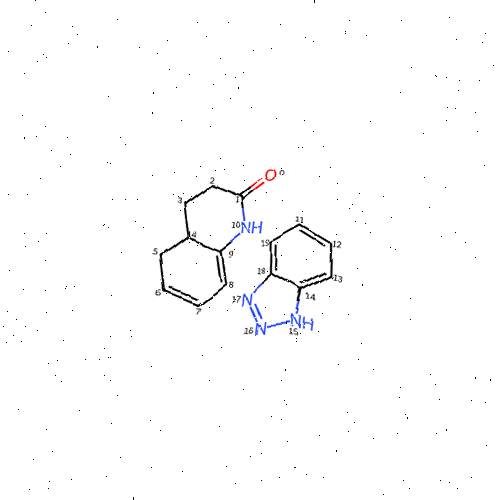 O=C1CCC2CC=CC=C2N1.c1ccc2[nH]nnc2c1